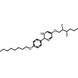 CCCCCCCCOc1ccc(C2N=CC(OC[C@@H](F)[C@H](F)CCC)=CN2)cc1